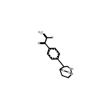 C=C(F)C(=O)c1ccc(C2CNN3CCC2CC3)cc1